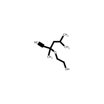 C#CC(C)(CC(C)C)OCCO